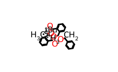 C=C(OC(OC(=O)c1ccccc1)c1ccccc1C(=O)O[Si](C)(C)C(C)(C)C)c1ccccc1